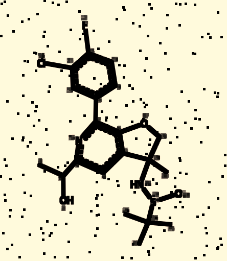 CC(O)c1cc2c(c(-c3ccc(F)c(Cl)c3)n1)OCC2(C)N[S+]([O-])C(C)(C)C